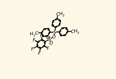 Cc1ccc(S(OS(=O)(=O)c2c(F)c(F)c(F)c(F)c2F)(c2ccc(C)cc2)c2ccc(C)cc2)cc1